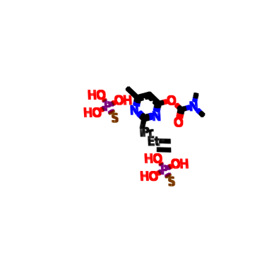 CC.CCC.Cc1cc(OC(=O)N(C)C)nc(C(C)C)n1.OP(O)(O)=S.OP(O)(O)=S